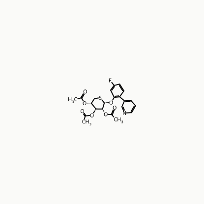 CC(=O)O[C@@H]1[C@@H](OC(C)=O)[C@H](OC(C)=O)CS[C@H]1Oc1cc(F)ccc1-c1cccnc1